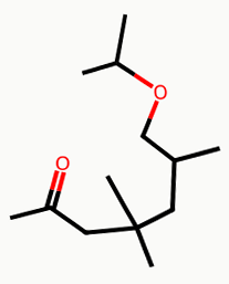 CC(=O)CC(C)(C)CC(C)COC(C)C